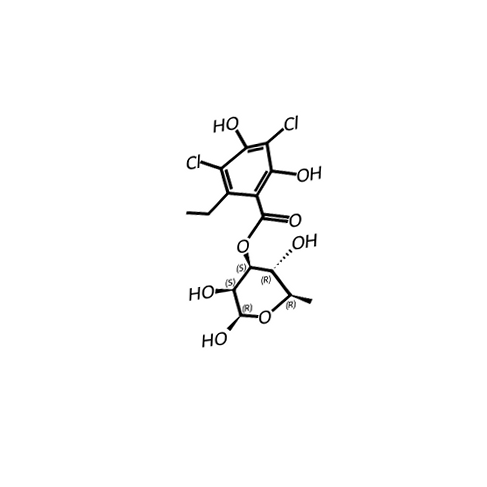 CCc1c(Cl)c(O)c(Cl)c(O)c1C(=O)O[C@@H]1[C@H](O)[C@H](O)O[C@H](C)[C@H]1O